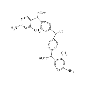 CCCCCCCCC(c1ccc(C(CC)c2ccc(C(CCCCCCCC)c3ccc(N)cc3C)cc2)cc1)c1ccc(N)cc1C